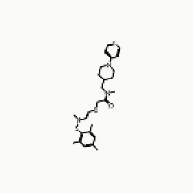 Cc1cc(C)c(SN(C)CCOCC(=O)N(C)CC2CCN(c3ccncc3)CC2)c(C)c1